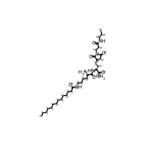 CCCCCCCCCCCCCC(=O)NCCCC[C@H](N)C(=O)N[C@@H](CSC1CC(=O)N(CCC(=O)NCCC)C1=O)C(N)=O